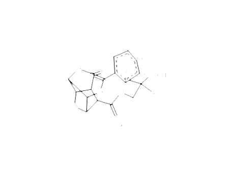 O=C(OC1C2OC(=O)C3C2OC1C3C(=O)OCC(F)(F)S(=O)(=O)O)c1ccccc1